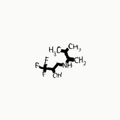 C=C(NCC(O)C(F)(F)F)C(C)C